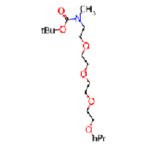 CCCOCCOCCOCCOCCN(C)C(=O)OC(C)(C)C